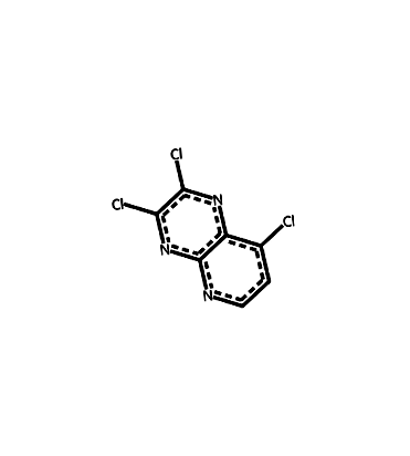 Clc1nc2nccc(Cl)c2nc1Cl